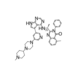 Cc1cccc2nc([C@H](C)Nc3ncnc4[nH]cc(-c5cncc(N6CCN(C7CCN(C)CC7)CC6)c5)c34)n(-c3ccccc3)c(=O)c12